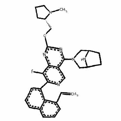 C=Cc1cccc2cccc(-c3ncc4c(N5CC6CCC(C5)N6)nc(OC[C@@H]5CCCN5C)nc4c3F)c12